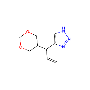 C=CC(c1c[nH]nn1)C1COCOC1